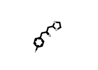 O=C(Cc1ccc(F)cc1)CC1OCCO1